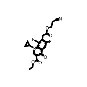 CCOC(=O)c1cn(C2CC2)c2c(F)c(CC(=O)OCCC#N)c(F)cc2c1=O